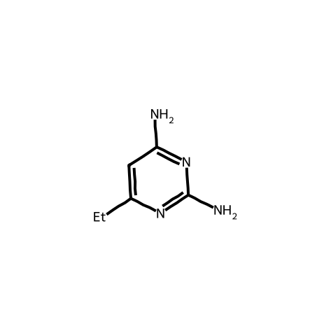 CCc1cc(N)nc(N)n1